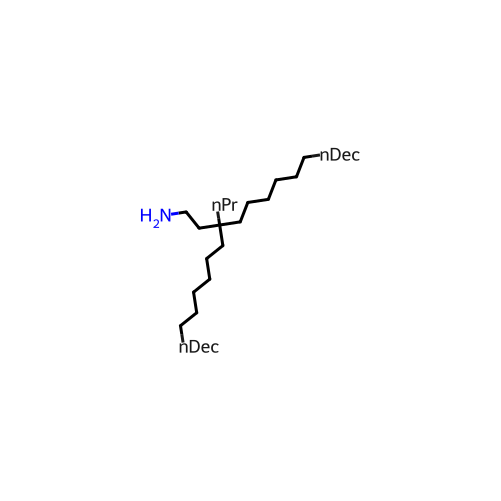 CCCCCCCCCCCCCCCCC(CCC)(CCN)CCCCCCCCCCCCCCCC